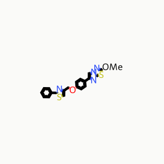 COc1nn2cc(-c3ccc(OCc4csc(-c5ccccc5)n4)cc3)nc2s1